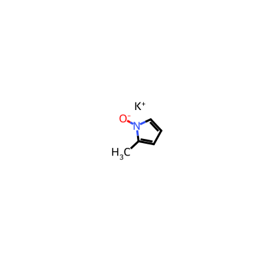 Cc1cccn1[O-].[K+]